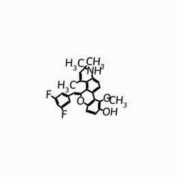 COc1c(O)ccc2c1-c1ccc3c(c1C(=Cc1cc(F)cc(F)c1)O2)C(C)=CC(C)(C)N3